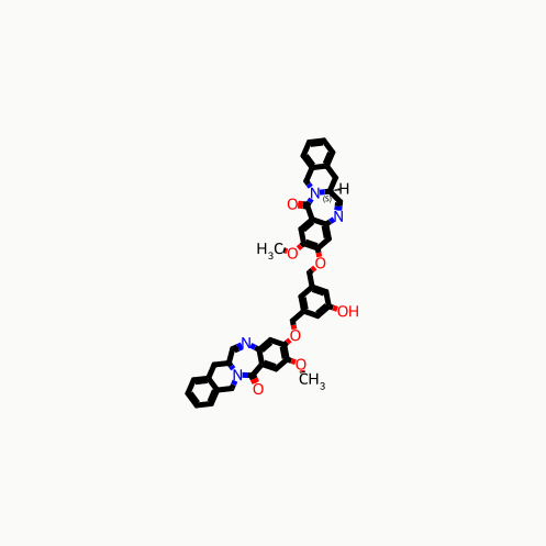 COc1cc2c(cc1OCc1cc(O)cc(COc3cc4c(cc3OC)C(=O)N3Cc5ccccc5C[C@H]3C=N4)c1)N=CC1Cc3ccccc3CN1C2=O